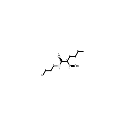 CCCCOC(=O)C(CCCC)P=O